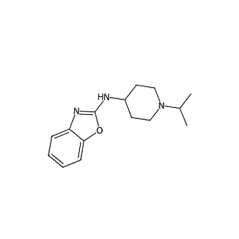 CC(C)N1CCC(Nc2nc3ccccc3o2)CC1